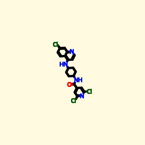 O=C(NC1CCC(Nc2ccnc3cc(Cl)ccc23)CC1)c1cc(Cl)nc(Cl)c1